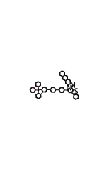 c1ccc(C2(c3ccccc3)c3ccccc3-c3cc(-c4ccc(-c5ccc(-c6cc7c8ccccc8sc7c7nc8cc9cc%10ccccc%10cc9cc8n67)cc5)cc4)ccc32)cc1